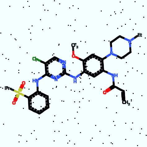 C=CC(=O)Nc1cc(Nc2ncc(Cl)c(Nc3ccccc3S(=O)(=O)C(C)C)n2)c(OC(F)(F)F)cc1N1CCN(CC)CC1